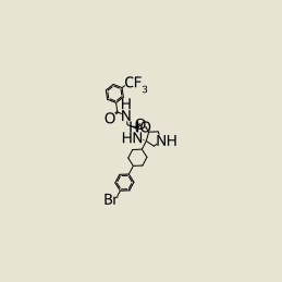 O=C(CNC(=O)c1cccc(C(F)(F)F)c1)N[C@@]1(C2CCC(c3ccc(Br)cc3)CC2)CNC[C@@H]1O